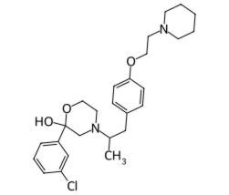 CC(Cc1ccc(OCCN2CCCCC2)cc1)N1CCOC(O)(c2cccc(Cl)c2)C1